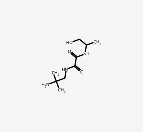 CC(CO)NC(=O)C(=O)NCC(C)(C)N